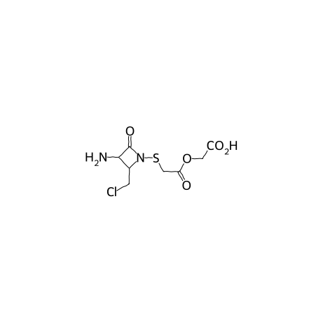 NC1C(=O)N(SCC(=O)OCC(=O)O)C1CCl